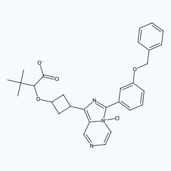 CC(C)(C)C(OC1CC(C2=C3C=NC=C[N+]3(Cl)C(c3cccc(OCc4ccccc4)c3)=N2)C1)C(=O)[O-]